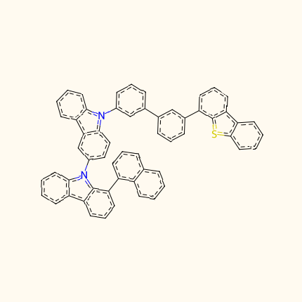 c1cc(-c2cccc(-n3c4ccccc4c4cc(-n5c6ccccc6c6cccc(-c7cccc8ccccc78)c65)ccc43)c2)cc(-c2cccc3c2sc2ccccc23)c1